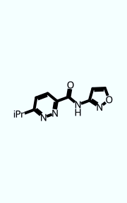 CC(C)c1ccc(C(=O)Nc2ccon2)nn1